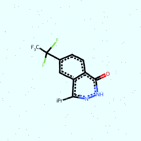 CC(C)c1n[nH]c(=O)c2ccc(C(F)(F)C(F)(F)F)cc12